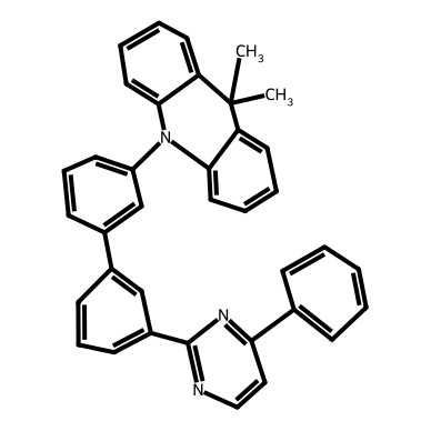 CC1(C)c2ccccc2N(c2cccc(-c3cccc(-c4nccc(-c5ccccc5)n4)c3)c2)c2ccccc21